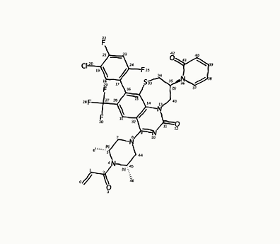 C=CC(=O)N1[C@H](C)CN(c2nc(=O)n3c4c(c(-c5cc(Cl)c(F)cc5F)c(C(F)(F)F)cc24)SC[C@@H](n2ccccc2=O)C3)C[C@@H]1C